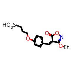 CCOC1=NOC(=O)/C1=C\c1ccc(OCCCS(=O)(=O)O)cc1